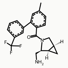 Cc1ccc(C(=O)N2C[C@H]3C[C@H]3[C@H]2CN)c(-c2cccc(C(F)(F)F)c2)c1